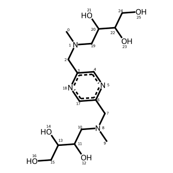 CN(Cc1cnc(CN(C)CC(O)C(O)CO)cn1)CC(O)C(O)CO